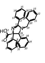 O=C(O)[C@@]1(c2ccccc2)N=C(c2ccccc2)N(Cc2ccccc2)C1c1ccccc1